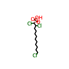 O=S(=O)(O)C(Cl)C(Cl)CCCCCCCCCCCl